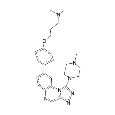 CN(C)CCCOc1ccc(-c2ccc3ncc4nnc(N5CCN(C)CC5)n4c3c2)cc1